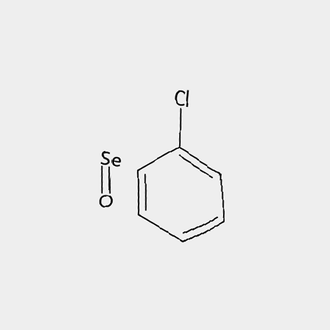 Clc1ccccc1.O=[Se]